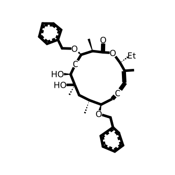 CC[C@H]1OC(=O)[C@H](C)[C@@H](OCc2ccccc2)C[C@H](O)[C@](C)(O)C[C@@H](C)[C@H](OCc2ccccc2)C=C=C=C1C